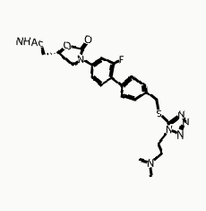 CC(=O)NC[C@H]1CN(c2ccc(-c3ccc(CSc4nnnn4CCN(C)C)cc3)c(F)c2)C(=O)O1